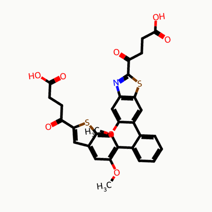 COc1cc2cc(C(=O)CCC(=O)O)sc2cc1-c1ccccc1-c1cc2sc(C(=O)CCC(=O)O)nc2cc1OC